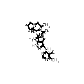 Cc1ncnc(Nc2n[nH]c3c2CN(C(=O)N2C[C@@H]4CCCN4C[C@@H]2C)C3(C)C)c1F